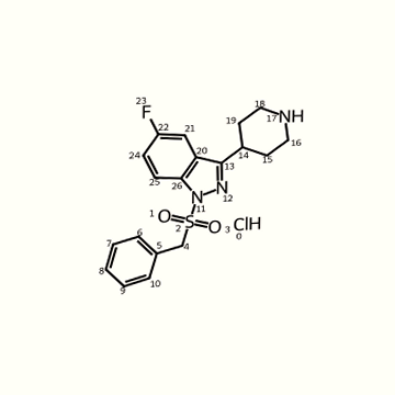 Cl.O=S(=O)(Cc1ccccc1)n1nc(C2CCNCC2)c2cc(F)ccc21